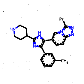 Cc1cccc(-c2nc(C3CCNCC3)[nH]c2-c2ccc3nnc(C(C)C)n3c2)c1